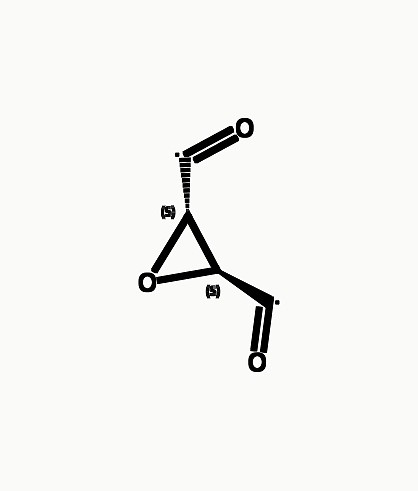 O=[C][C@H]1O[C@@H]1[C]=O